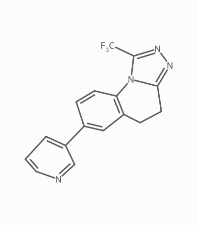 FC(F)(F)c1nnc2n1-c1ccc(-c3cccnc3)cc1CC2